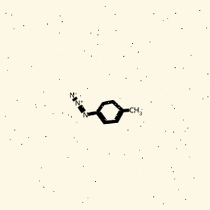 CC1=CC=C(N=[N+]=[N-])CC1